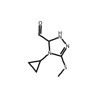 CSC1=NNC(C=O)N1C1CC1